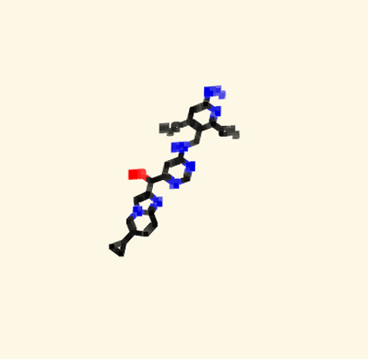 Cc1cc(N)nc(C)c1CNc1cc(C(O)c2cn3cc(C4CC4)ccc3n2)ncn1